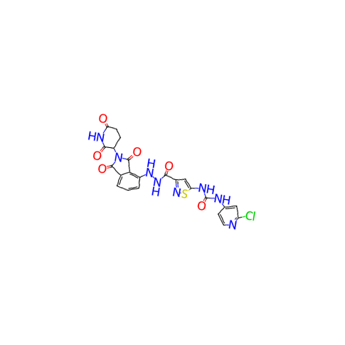 O=C1CCC(N2C(=O)c3cccc(NNC(=O)c4cc(NC(=O)Nc5ccnc(Cl)c5)sn4)c3C2=O)C(=O)N1